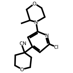 CC1COCCN1c1cc(C2(C#N)CCOCC2)cc(Cl)n1